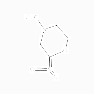 O=CN1CCOC(=S(=O)=O)C1